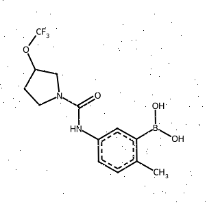 Cc1ccc(NC(=O)N2CCC(OC(F)(F)F)C2)cc1B(O)O